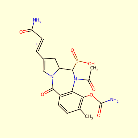 CC(=O)N1c2c(ccc(C)c2OC(N)=O)C(=O)N2C=C(/C=C/C(N)=O)CC2C1S(=O)O